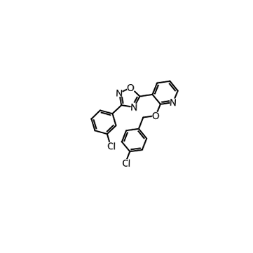 Clc1ccc(COc2ncccc2-c2nc(-c3cccc(Cl)c3)no2)cc1